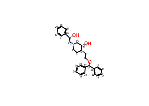 O[C@H](CN1CC[C@H](CCOC(c2ccccc2)c2ccccc2)[C@@H](O)C1)c1ccccc1